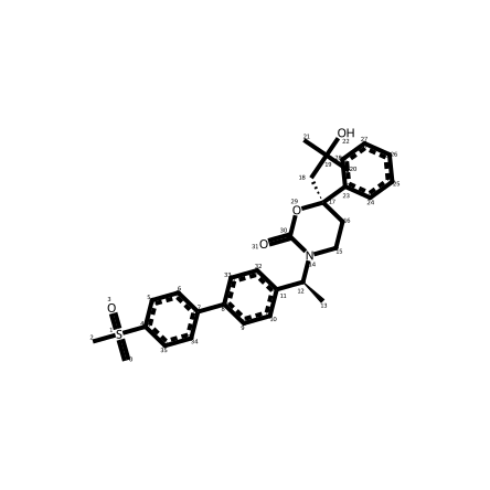 C=S(C)(=O)c1ccc(-c2ccc([C@H](C)N3CC[C@](CC(C)(C)O)(c4ccccc4)OC3=O)cc2)cc1